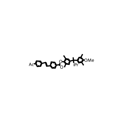 COc1c(C)cc(C(C)(c2cc(C)c(OC(=O)c3ccc(C=Cc4ccc(C(C)=O)cc4)cc3)c(C)c2)C(C)C)cc1C